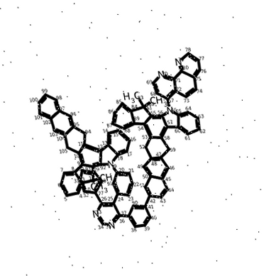 CC1(C)c2ccccc2-c2c3c(c4c5ccccc5n(-c5cccc(-c6c(-c7ccccc7)ncnc6-c6cccc(-c7ccc8cc9c(cc8c7)Cc7c8c(c%10c(c7C9)c7ccccc7n%10-c7ccnc9c7ccc7cccnc79)C(C)(C)c7ccccc7-8)c6)c5)c4c21)Cc1cc2ccccc2cc1C3